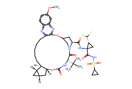 COc1ccc2nc3c(nc2c1)OC1C[C@@H](C(=O)N[C@]2(C(=O)NS(=O)(=O)C4CC4)C[C@H]2C(F)F)N(C1)C(=O)[C@H](C(C)(C)C)NC(=O)O[C@@H]1C[C@@H]2C[C@@H]2[C@H]1CCCCC3